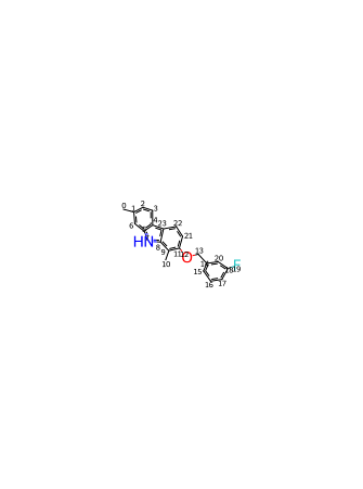 Cc1ccc2c(c1)[nH]c1c(C)c(OCc3cccc(F)c3)ccc12